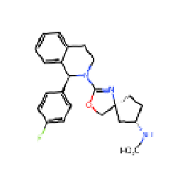 O=C(O)N[C@H]1CC[C@@]2(COC(N3CCc4ccccc4[C@@H]3c3ccc(F)cc3)=N2)C1